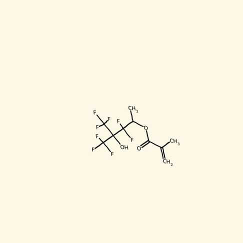 C=C(C)C(=O)OC(C)C(F)(F)C(O)(C(F)(F)F)C(F)(F)F